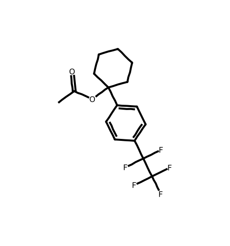 CC(=O)OC1(c2ccc(C(F)(F)C(F)(F)F)cc2)CCCCC1